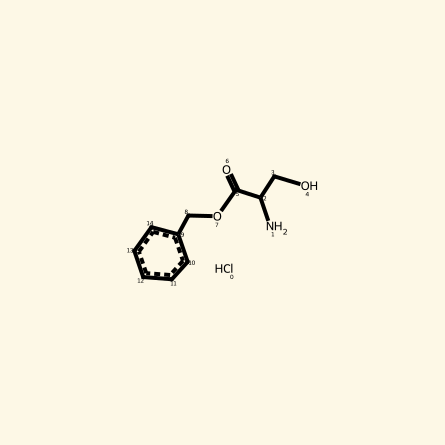 Cl.NC(CO)C(=O)OCc1ccccc1